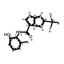 Cc1cccc(O)c1NC(=O)c1cnc2sc(C(C)(F)F)nn12